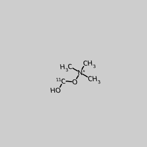 C[N+](C)(C)O[11CH2]O